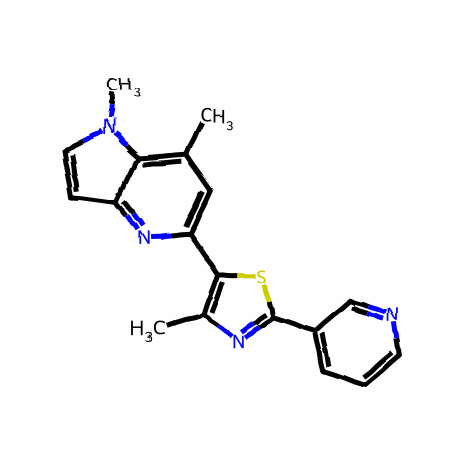 Cc1nc(-c2cccnc2)sc1-c1cc(C)c2c(ccn2C)n1